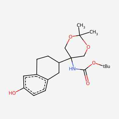 CC(C)(C)OC(=O)NC1(C2CCc3cc(O)ccc3C2)COC(C)(C)OC1